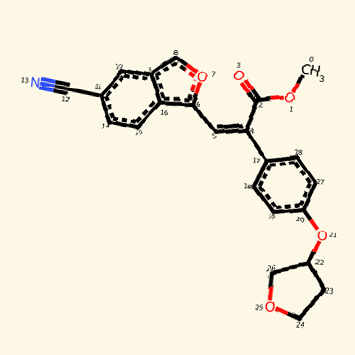 COC(=O)C(=Cc1occ2cc(C#N)ccc12)c1ccc(OC2CCOC2)cc1